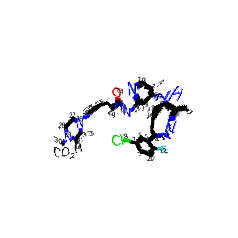 Cc1nnc(-c2cc(Cl)ccc2F)cc1Nc1ccnc(NC(=O)CCN2CCN(C)C(C(=O)O)C2)c1